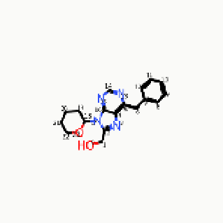 OCc1nc2c(Cc3ccccc3)ncnc2n1C1CCCCO1